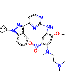 COc1cc(N(C)CCN(C)C)c([N+](=O)[O-])cc1Nc1nccc(-c2nn(C34CC(C3)C4)c3ccccc23)n1